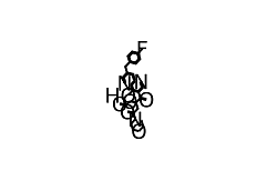 O=COC(CC(=O)N1CCOCC1)C(=O)c1cnc2cc(Cc3ccc(F)cc3)cnc2c1O